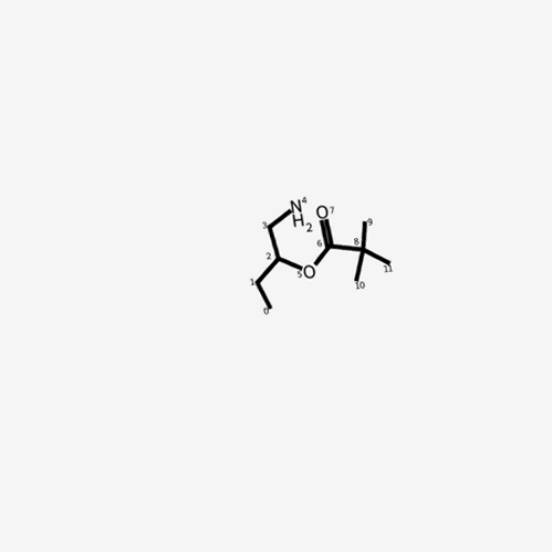 CCC(CN)OC(=O)C(C)(C)C